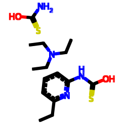 CCN(CC)CC.CCc1cccc(NC(O)=S)n1.NC(O)=S